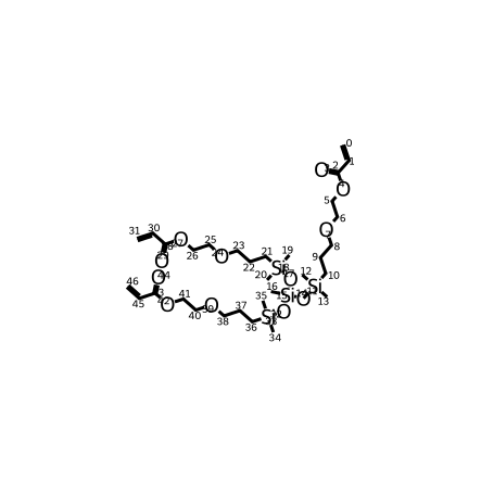 C=CC(=O)OCCOCCC[Si](C)(C)O[Si](C)(O[Si](C)(C)CCCOCCOC(=O)C=C)O[Si](C)(C)CCCOCCOC(=O)C=C